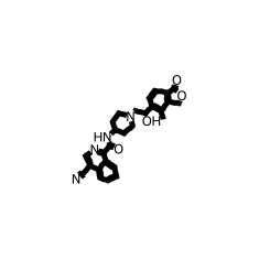 Cc1c([C@@H](O)CN2CCC(NC(=O)c3ncc(C#N)c4ccccc34)CC2)ccc2c1COC2=O